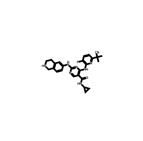 CC(C)(C#N)c1ccc(F)c(Nc2nc(Nc3ccc4c(c3)CCNC4)ncc2C(=O)NC2CC2)n1